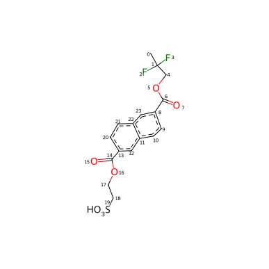 CC(F)(F)COC(=O)c1ccc2cc(C(=O)OCCS(=O)(=O)O)ccc2c1